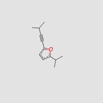 CC(C)C#Cc1ccc(C(C)C)o1